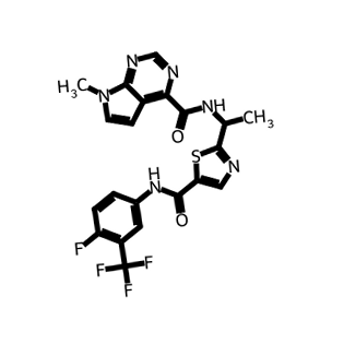 CC(NC(=O)c1ncnc2c1ccn2C)c1ncc(C(=O)Nc2ccc(F)c(C(F)(F)F)c2)s1